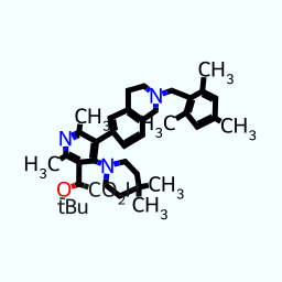 Cc1cc(C)c(CN2CCc3cc(-c4c(C)nc(C)c(C(OC(C)(C)C)C(=O)O)c4N4CCC(C)(C)CC4)ccc3C2)c(C)c1